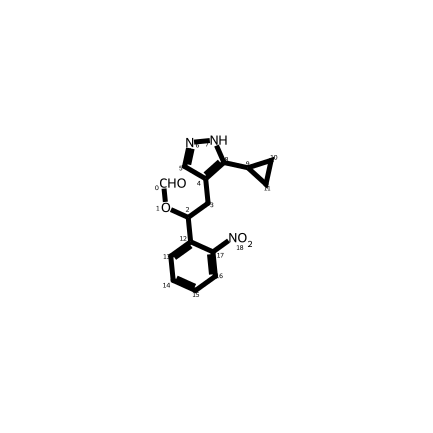 O=COC(Cc1cn[nH]c1C1CC1)c1ccccc1[N+](=O)[O-]